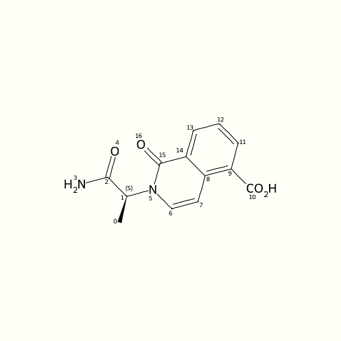 C[C@@H](C(N)=O)n1ccc2c(C(=O)O)cccc2c1=O